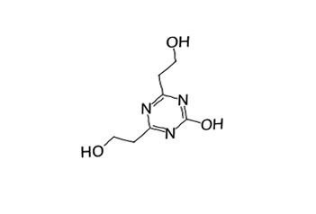 OCCc1nc(O)nc(CCO)n1